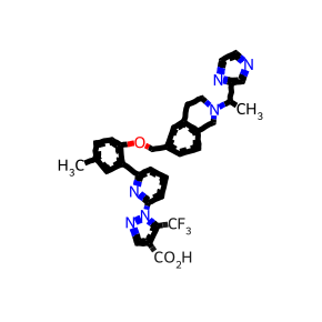 Cc1ccc(OCc2ccc3c(c2)CCN(C(C)c2cnccn2)C3)c(-c2cccc(-n3ncc(C(=O)O)c3C(F)(F)F)n2)c1